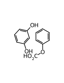 O=C(O)Oc1ccccc1.Oc1cccc(O)c1